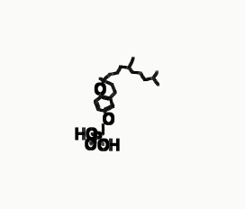 CC(C)CCCC(C)CCCC1(C)CCc2cc(OCCP(=O)(O)O)ccc2O1